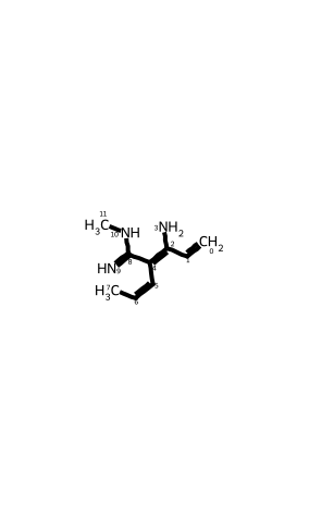 C=C/C(N)=C(\C=C/C)C(=N)NC